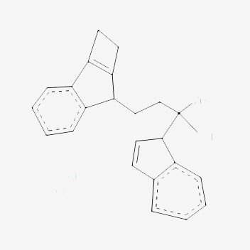 C[C]([Zr+2])(CCC1C2=C(CC2)c2ccccc21)C1C=Cc2ccccc21.[Cl-].[Cl-]